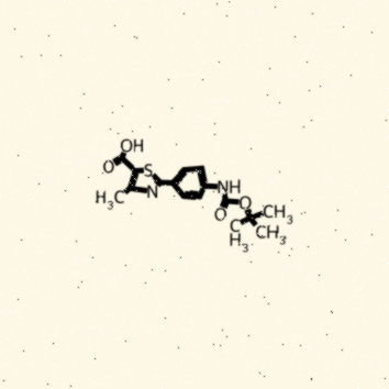 Cc1nc(-c2ccc(NC(=O)OC(C)(C)C)cc2)sc1C(=O)O